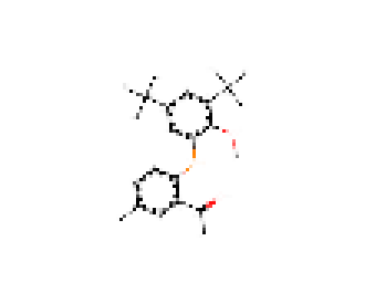 COc1c(Pc2ccc(C)cc2C(C)=O)cc(C(C)(C)C)cc1C(C)(C)C